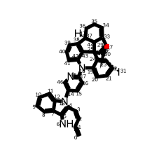 C=C/C=C\c1c(N)c2ccccc2n1-c1ccc(N2c3ccccc3C34C5=C(CC[C@H](I)C5)C5=CCC[C@H](c6cccc2c63)C54)nc1